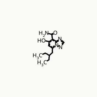 CCC(CC)Cc1cc(O)c(C(N)=O)c2ncnn12